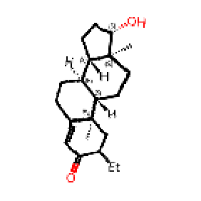 CCC1C[C@@]2(C)C(=CC1=O)CC[C@H]1[C@@H]3CC[C@H](O)[C@@]3(C)CC[C@@H]12